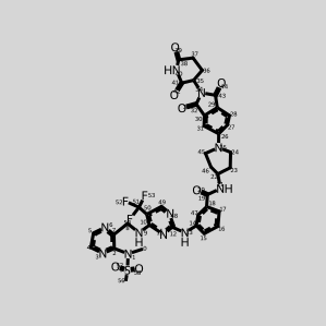 CN(c1nccnc1CNc1nc(Nc2cccc(C(=O)NC3CCN(c4ccc5c(c4)C(=O)N(C4CCC(=O)NC4=O)C5=O)CC3)c2)ncc1C(F)(F)F)S(C)(=O)=O